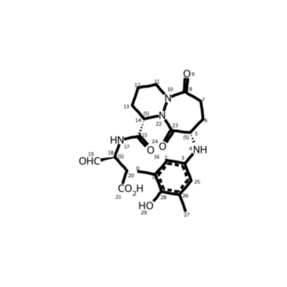 Cc1cc(N[C@H]2CCC(=O)N3CCC[C@@H](C(=O)N[C@H](C=O)CC(=O)O)N3C2=O)cc(C)c1O